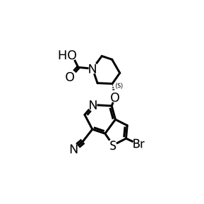 N#Cc1cnc(O[C@H]2CCCN(C(=O)O)C2)c2cc(Br)sc12